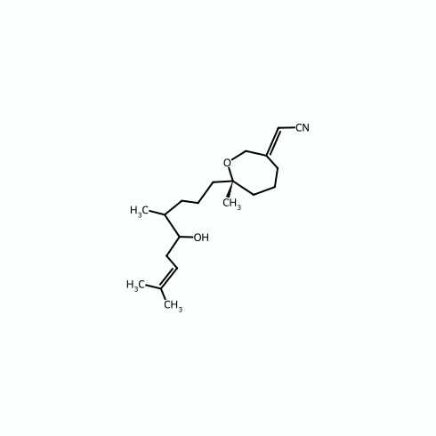 CC(C)=CCC(O)C(C)CCC[C@@]1(C)CCCC(=CC#N)CO1